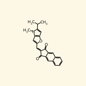 CC(C)c1cc2oc(C=C3C(=O)c4cc5ccccc5cc4C3=O)cc2n1C